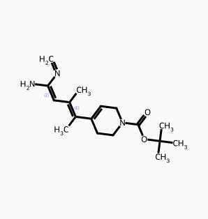 C=N/C(N)=C\C(C)=C(/C)C1=CCN(C(=O)OC(C)(C)C)CC1